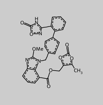 COc1nc2cccc(C(=O)OCc3oc(=O)oc3C)c2n1Cc1ccc(-c2ccccc2-c2noc(=O)[nH]2)cc1